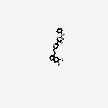 C=C(/C=C\C(=C/N)CCc1ccnc2cc(OC)c(OC)cc12)c1cnc(Nc2ccccc2)n(C)c1=O